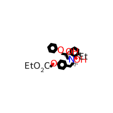 CCOC(=O)COc1ccc(C[C@@H](C)N(C[C@H](O)COc2ccccc2)C2(O)C=CC=C[C@H]2CC)cc1